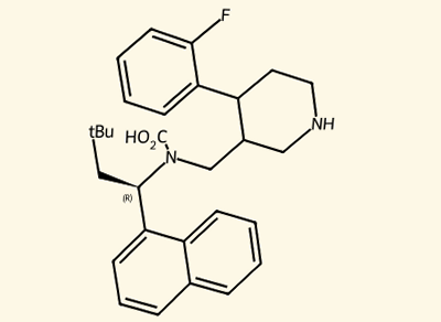 CC(C)(C)C[C@H](c1cccc2ccccc12)N(CC1CNCCC1c1ccccc1F)C(=O)O